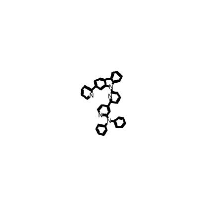 c1ccc(N(c2ccccc2)c2cc(-c3cccc(-n4c5ccccc5c5ccc(-c6ccccn6)cc54)n3)ccn2)cc1